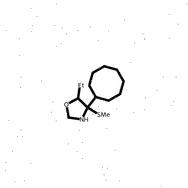 CCC1OCNC1(SC)C1CCCCCCC1